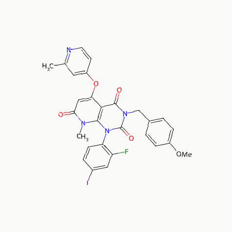 COc1ccc(Cn2c(=O)c3c(Oc4ccnc(C)c4)cc(=O)n(C)c3n(-c3ccc(I)cc3F)c2=O)cc1